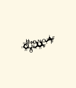 COc1nc(OCC2CC2(F)F)c(F)cc1CNC(=O)[C@@H]1CCCN1